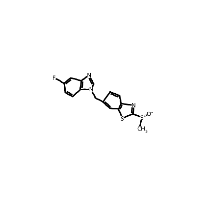 C[S+]([O-])c1nc2ccc(Cn3cnc4cc(F)ccc43)cc2s1